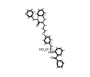 O=C(c1ccccc1)c1ccccc1N[C@@H](Cc1ccc(OCCCN(Cc2ccccc2)C(=O)CCc2cccnc2)cc1)C(=O)O